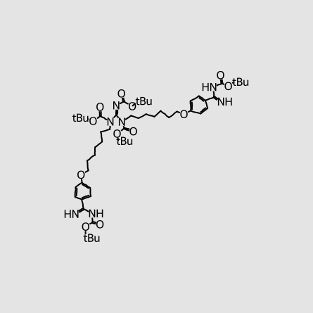 CC(C)(C)OC(=O)N=C(N(CCCCCCCOc1ccc(C(=N)NC(=O)OC(C)(C)C)cc1)C(=O)OC(C)(C)C)N(CCCCCCCOc1ccc(C(=N)NC(=O)OC(C)(C)C)cc1)C(=O)OC(C)(C)C